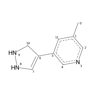 Cc1cncc(C2=CNNC2)c1